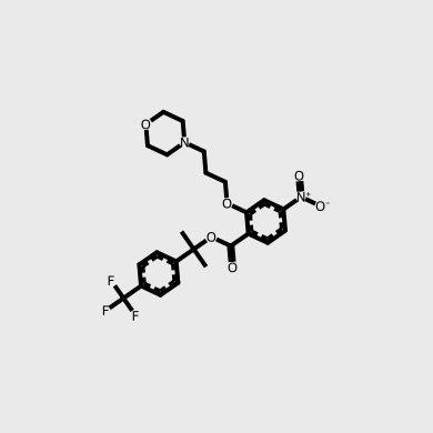 CC(C)(OC(=O)c1ccc([N+](=O)[O-])cc1OCCCN1CCOCC1)c1ccc(C(F)(F)F)cc1